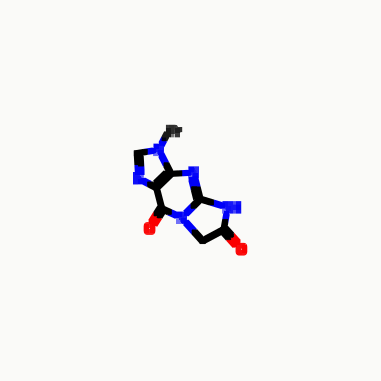 CC(C)n1cnc2c(=O)n3c(nc21)NC(=O)C3